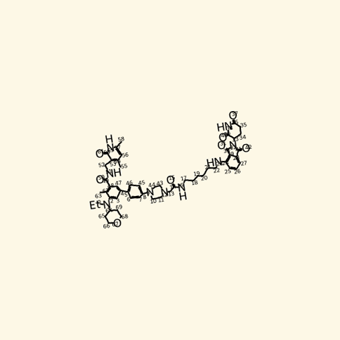 CCN(c1cc(-c2ccc(N3CCN(CC(=O)NCCCCCCNc4cccc5c4C(=O)N(C4CCC(=O)NC4=O)C5=O)CC3)cc2)cc(C(=O)NCc2c(C)cc(C)[nH]c2=O)c1C)C1CCOCC1